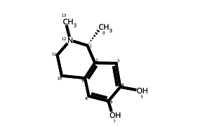 C[C@@H]1c2cc(O)c(O)cc2CCN1C